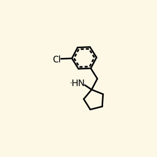 [NH]C1(Cc2cccc(Cl)c2)CCCC1